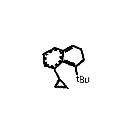 CC(C)(C)C1=c2c(C3CC3)cccc2=CCC1